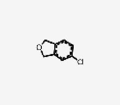 Clc1ccc2c(c1)COC2